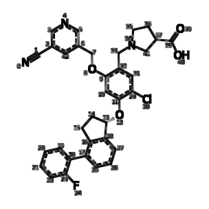 N#Cc1cncc(COc2cc(O[C@H]3CCc4c(-c5ccccc5F)cccc43)c(Cl)cc2CN2CCC(C(=O)O)C2)c1